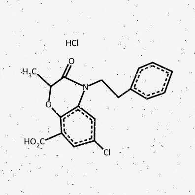 CC1Oc2c(C(=O)O)cc(Cl)cc2N(CCc2ccccc2)C1=O.Cl